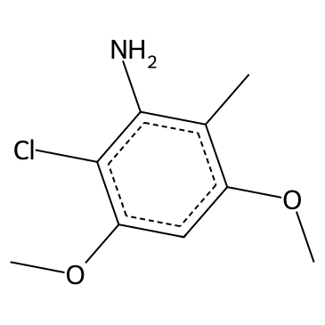 COc1cc(OC)c(Cl)c(N)c1C